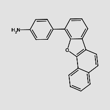 Nc1ccc(-c2cccc3c2oc2c4ccccc4ccc32)cc1